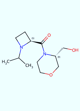 CC(C)N1CC[C@H]1C(=O)N1CCOC[C@H]1CO